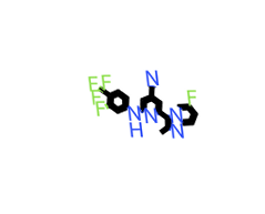 Cc1nc2ccc(F)cn2c1-c1cc(C#N)cc(Nc2ccc(C(F)(F)F)c(F)c2)n1